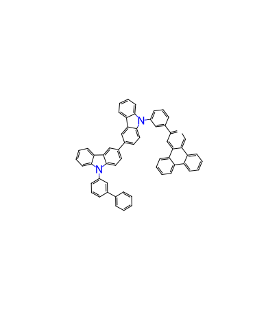 C=C(/C=c1\c(=C/C)c2ccccc2c2ccccc12)c1cccc(-n2c3ccccc3c3cc(-c4ccc5c(c4)c4ccccc4n5-c4cccc(-c5ccccc5)c4)ccc32)c1